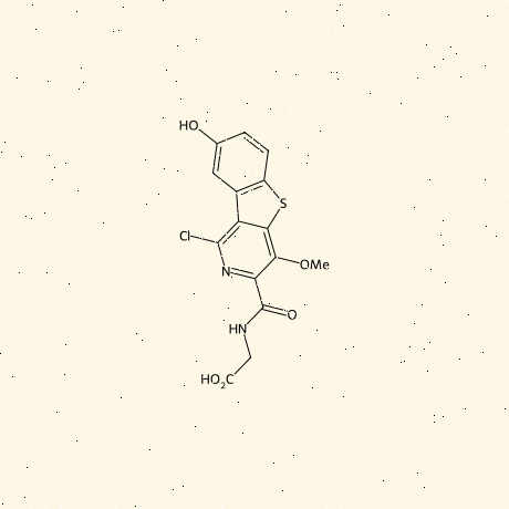 COc1c(C(=O)NCC(=O)O)nc(Cl)c2c1sc1ccc(O)cc12